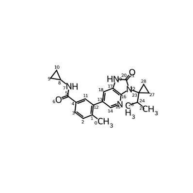 Cc1ccc(C(=O)NC2CC2)cc1-c1cnc2c(c1)[nH]c(=O)n2C1(C(C)C)CC1